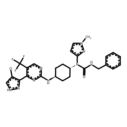 Cn1ccc(N(C(=O)NCc2ccccc2)[C@H]2CC[C@H](Nc3ncc(C(F)(F)F)c(-c4n[nH]cc4Cl)n3)CC2)n1